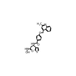 Cc1cc(COc2ccc(C(=O)NC(CC(=O)NO)c3ccsc3)cc2)c2ccccc2n1